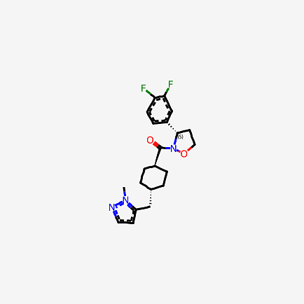 Cn1nccc1C[C@H]1CC[C@H](C(=O)N2OCC[C@H]2c2ccc(F)c(F)c2)CC1